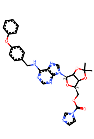 CC1(C)OC2C(O1)[C@@H](COC(=O)n1ccnc1)O[C@H]2n1cnc2c(NCc3ccc(Oc4ccccc4)cc3)ncnc21